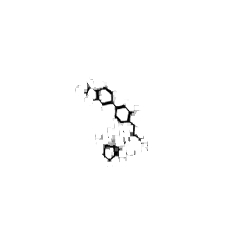 Cn1c(=O)oc2cc(-c3ccc(CC(C#N)NC(=O)[C@H]4N[C@@H]5CC[C@H]4C5)c(F)c3)ccc21